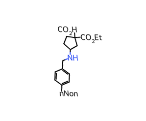 CCCCCCCCCc1ccc(CNC2CCC(C(=O)O)(C(=O)OCC)C2)cc1